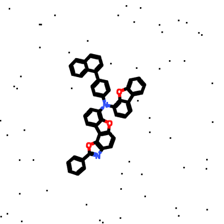 c1ccc(-c2nc3ccc4oc5c(N(c6ccc(-c7cccc8ccccc78)cc6)c6cccc7c6oc6ccccc67)cccc5c4c3o2)cc1